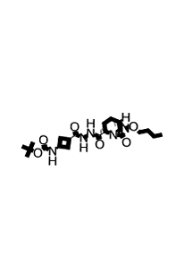 CCCCON1C(=O)N2C[C@@H]1CC[C@H]2C(=O)NNC(=O)[C@H]1C[C@H](NC(=O)OC(C)(C)C)C1